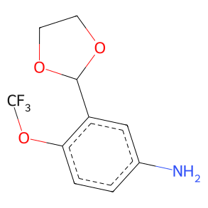 Nc1ccc(OC(F)(F)F)c(C2OCCO2)c1